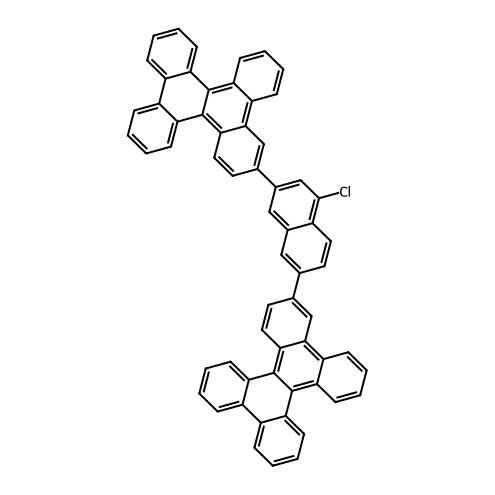 Clc1cc(-c2ccc3c(c2)c2ccccc2c2c4ccccc4c4ccccc4c32)cc2cc(-c3ccc4c(c3)c3ccccc3c3c5ccccc5c5ccccc5c43)ccc12